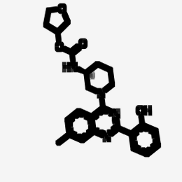 Cc1ccc2c(N3CCC[C@H](NC(=O)OC4CCOC4)C3)nc(-c3ccccc3O)nc2c1